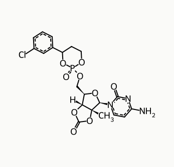 C[C@@]12OC(=O)O[C@@H]1[C@@H](COP1(=O)OCCC(c3cccc(Cl)c3)O1)O[C@H]2n1ccc(N)nc1=O